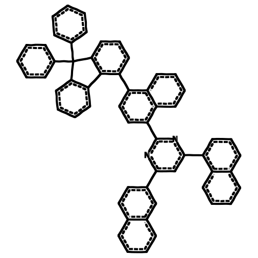 c1ccc(C2(c3ccccc3)c3ccccc3-c3c(-c4ccc(-c5nc(-c6ccc7ccccc7c6)cc(-c6cccc7ccccc67)n5)c5ccccc45)cccc32)cc1